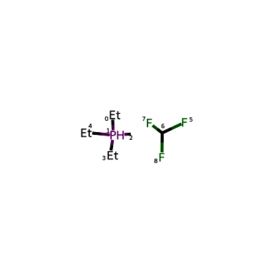 CC[PH](C)(CC)CC.FC(F)F